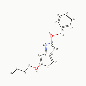 CCCCOC1=CC2=NC(OCc3ccccc3)=CC2=CC1